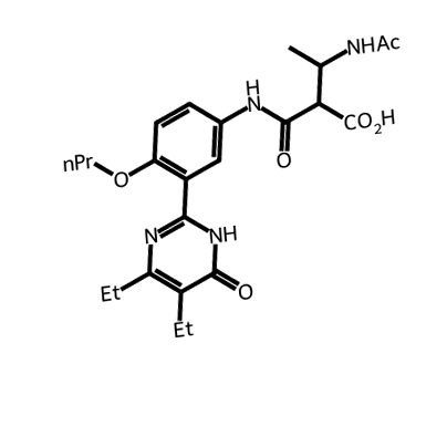 CCCOc1ccc(NC(=O)C(C(=O)O)C(C)NC(C)=O)cc1-c1nc(CC)c(CC)c(=O)[nH]1